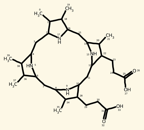 CC1C2CC3NC(CC4NC(CC5NC(CC(N2)C1C)C(C)C5CCC(=O)O)C(CCC(=O)O)C4C)C(C)C3C